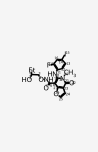 CCC(O)CONC(=O)c1c(Nc2ccc(I)cc2F)n(C)c(=O)c2ccoc12